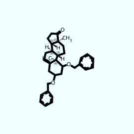 C[C@]12CC[C@H]3[C@@H](CC=C4CC(OCc5ccccc5)CC(OCc5ccccc5)[C@@]43C)[C@@H]1CCC2=O